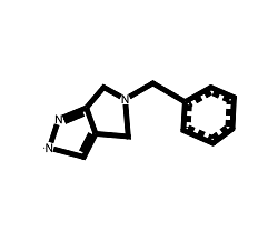 C1=C2CN(Cc3ccccc3)CC2=N[N]1